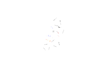 COC(=O)[C@](NS(=O)(=O)c1ccc(C)cc1)(c1ccccc1)[C@@](C)(Nc1ccccc1)c1cccc(F)c1